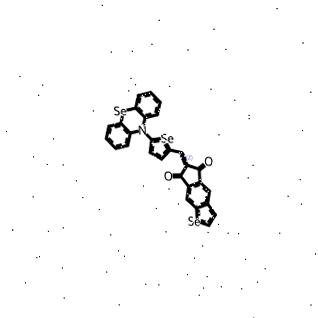 O=C1/C(=C/c2ccc(N3c4ccccc4[Se]c4ccccc43)[se]2)C(=O)c2cc3[se]ccc3cc21